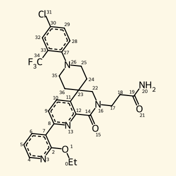 CCOc1ncccc1-c1ccc2c(n1)C(=O)N(CCC(N)=O)CC21CCN(c2ccc(Cl)cc2C(F)(F)F)CC1